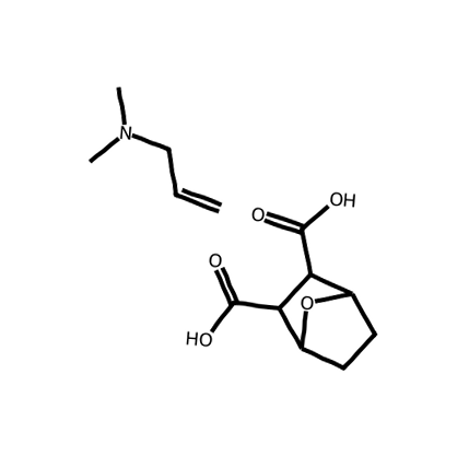 C=CCN(C)C.O=C(O)C1C2CCC(O2)C1C(=O)O